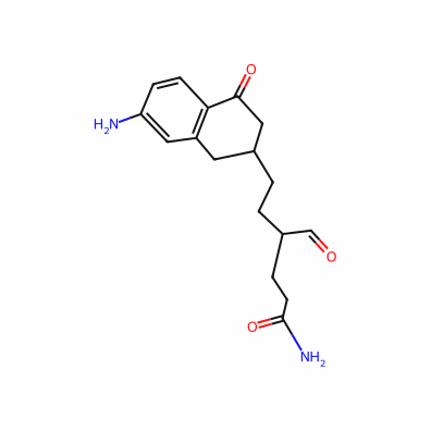 NC(=O)CCC(C=O)CCC1CC(=O)c2ccc(N)cc2C1